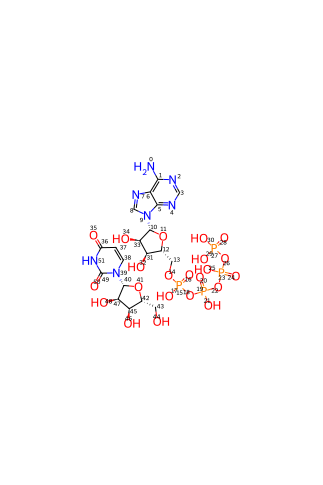 Nc1ncnc2c1ncn2[C@@H]1O[C@H](COP(=O)(O)OP(=O)(O)OP(=O)(O)OP(=O)(O)O)[C@@H](O)[C@H]1O.O=c1ccn([C@@H]2O[C@H](CO)[C@@H](O)[C@H]2O)c(=O)[nH]1